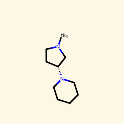 CC(C)(C)N1CC[C@@H](N2CCCCC2)C1